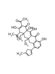 CC(=O)C1=C(O)C(C(C)C)[C@@]2(C)C[C@@]3(C)Cc4c(C5=CC=C(C)C5)ccc(O)c4C(=O)C3=C(O)[C@@]2(O)C1=O